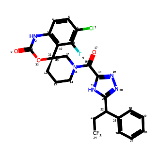 O=C1Nc2ccc(Cl)c(F)c2[C@@]2(CCCN(C(=O)c3nnc(C(CC(F)(F)F)c4ccccc4)[nH]3)C2)O1